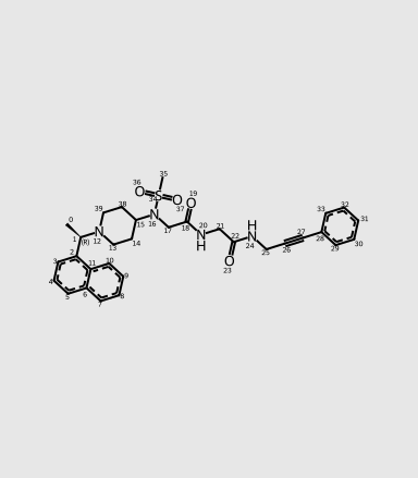 C[C@H](c1cccc2ccccc12)N1CCC(N(CC(=O)NCC(=O)NCC#Cc2ccccc2)S(C)(=O)=O)CC1